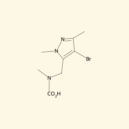 Cc1nn(C)c(CN(C)C(=O)O)c1Br